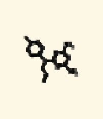 C=CCN(c1ccc(C)cc1)c1nc(N)nc(N)n1